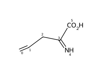 C=CCC(=N)C(=O)O